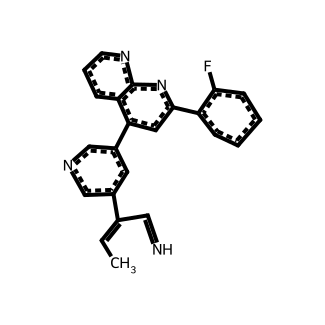 C/C=C(\C=N)c1cncc(-c2cc(-c3ccccc3F)nc3ncccc23)c1